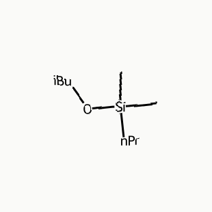 CCC[Si](C)(C)OC(C)CC